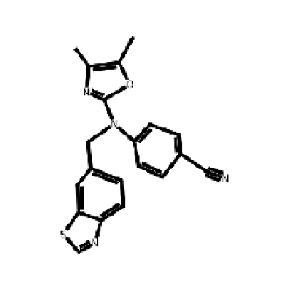 Cc1nc(N(Cc2ccc3ncsc3c2)c2ccc(C#N)cc2)oc1C